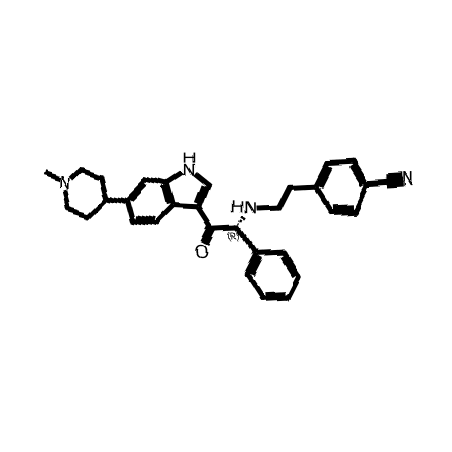 CN1CCC(c2ccc3c(C(=O)[C@H](NCCc4ccc(C#N)cc4)c4ccccc4)c[nH]c3c2)CC1